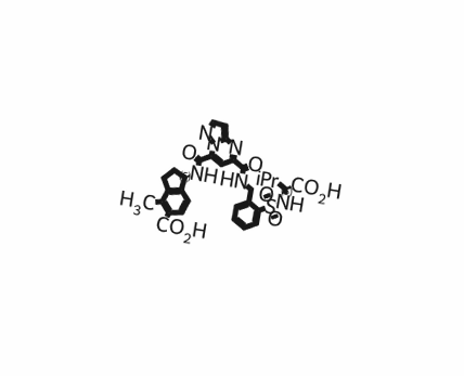 Cc1c(C(=O)O)ccc2c1CC[C@@H]2NC(=O)c1cc(C(=O)NCc2ccccc2S(=O)(=O)N[C@H](C(=O)O)C(C)C)nc2ccnn12